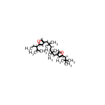 CCC(c1cc(CC(C)(C)CCC(C)(C)Cc2coc(CC(C)(C)C)c2)co1)C(C)C